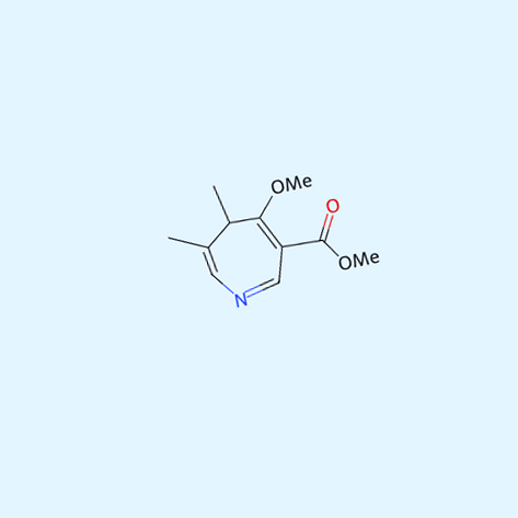 COC(=O)C1=C(OC)C(C)C(C)=CN=C1